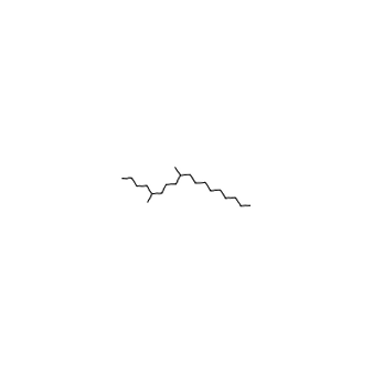 CCCCCCCCCC(C)CCCC(C)CCCC